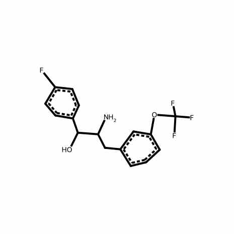 NC(Cc1cccc(OC(F)(F)F)c1)C(O)c1ccc(F)cc1